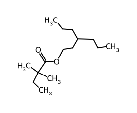 CCCC(CCC)CCOC(=O)C(C)(C)CC